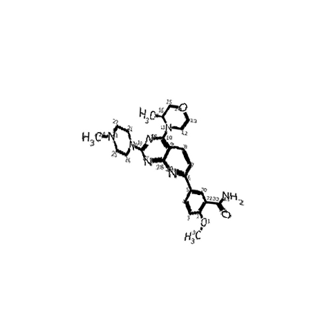 COc1ccc(-c2ccc3c(N4CCOC[C@@H]4C)nc(N4CCN(C)CC4)nc3n2)cc1C(N)=O